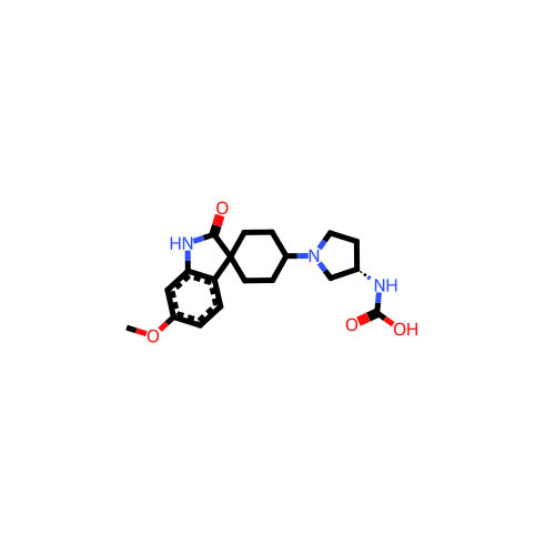 COc1ccc2c(c1)NC(=O)C21CCC(N2CC[C@H](NC(=O)O)C2)CC1